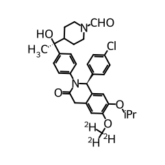 [2H]C([2H])([2H])Oc1cc2c(cc1OC(C)C)[C@H](c1ccc(Cl)cc1)N(c1ccc([C@@](C)(O)C3CCN(C=O)CC3)cc1)C(=O)C2